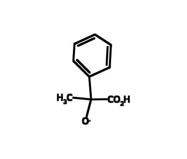 CC([O])(C(=O)O)c1ccccc1